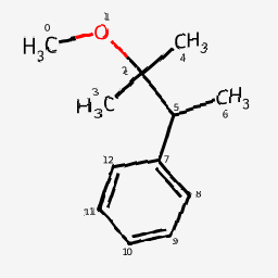 COC(C)(C)C(C)c1ccccc1